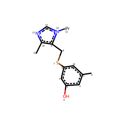 Cc1cc(O)cc(SCc2c(C)ncn2C(C)C)c1